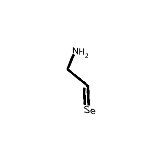 NCC=[Se]